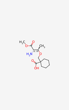 COC(=O)[C@@H](N)[C@@H](C)OCC1(C(=O)O)CCCCC1